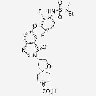 CCN(C)S(=O)(=O)Nc1ccc(F)c(Oc2ccc3ncn(C4COC5(CCN(C(=O)O)CC5)C4)c(=O)c3c2)c1F